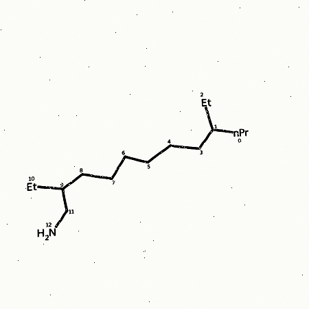 CCCC(CC)CCCCCCC(CC)CN